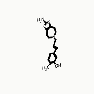 Cc1ccc(/C=C/CN2CCc3nc(N)sc3CC2)cc1O